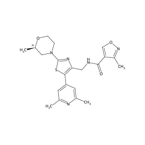 Cc1cc(-c2sc(N3CCO[C@H](C)C3)nc2CNC(=O)c2conc2C)cc(C)n1